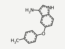 Cc1ccc(Oc2ccc3[nH]cc(N)c3c2)cc1